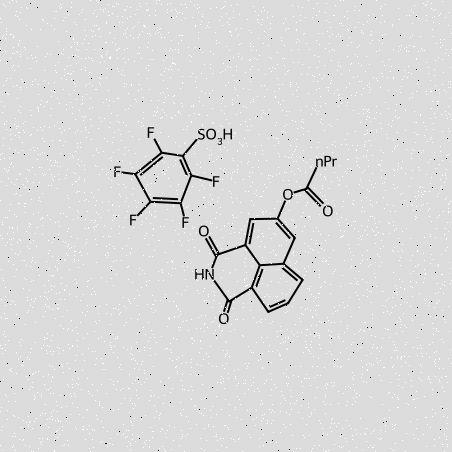 CCCC(=O)Oc1cc2c3c(cccc3c1)C(=O)NC2=O.O=S(=O)(O)c1c(F)c(F)c(F)c(F)c1F